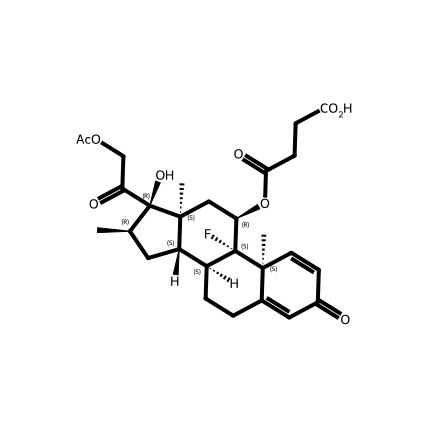 CC(=O)OCC(=O)[C@@]1(O)[C@H](C)C[C@H]2[C@@H]3CCC4=CC(=O)C=C[C@]4(C)[C@]3(F)[C@H](OC(=O)CCC(=O)O)C[C@@]21C